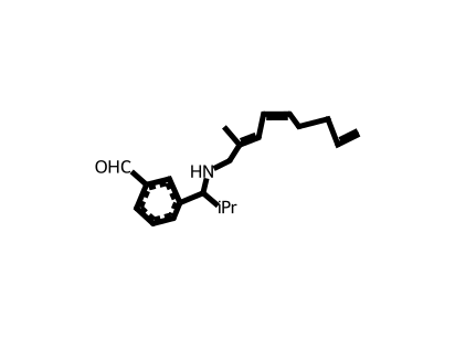 C=CCC/C=C\C=C(/C)CNC(c1cccc(C=O)c1)C(C)C